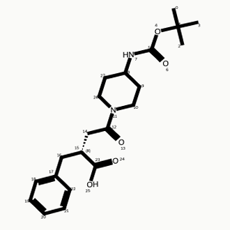 CC(C)(C)OC(=O)NC1CCN(C(=O)C[C@@H](Cc2ccccc2)C(=O)O)CC1